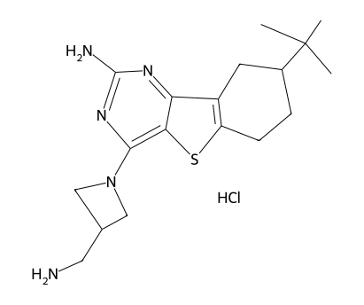 CC(C)(C)C1CCc2sc3c(N4CC(CN)C4)nc(N)nc3c2C1.Cl